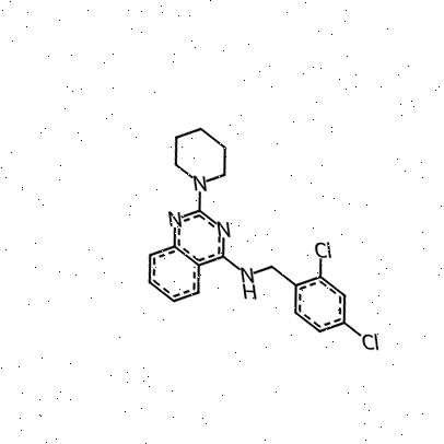 Clc1ccc(CNc2nc(N3CCCCC3)nc3ccccc23)c(Cl)c1